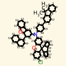 CC1(C)c2ccccc2-c2ccc(-c3ccc(N(c4ccc5c(c4)Oc4ccc(Cl)cc4C54c5ccccc5-c5ccccc54)c4cc(-c5cccc6ccccc56)c5oc6ccccc6c5c4)cc3)cc21